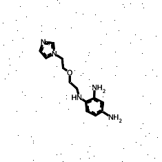 Nc1ccc(NCCOCCn2ccnc2)c(N)c1